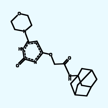 O=C(COc1cc(N2CCOCC2)[nH]c(=O)n1)NC12CC3CC(CC(C3)C1)C2